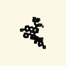 CCOC(CN(C)C(=O)C(Cc1ccc(Cl)cc1)NC(=O)C(CNS(=O)(=O)c1ccc(Cl)cc1Cl)N(Cc1ccccc1)C(=O)O)OCC